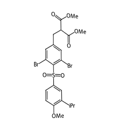 COC(=O)C(Cc1cc(Br)c(S(=O)(=O)c2ccc(OC)c(C(C)C)c2)c(Br)c1)C(=O)OC